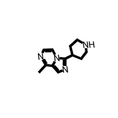 Cc1nccn2c(C3CCNCC3)ncc12